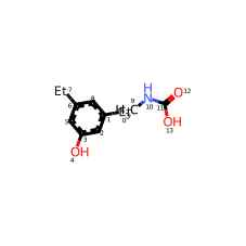 CCc1cc(O)cc(CC)c1.CNC(=O)O